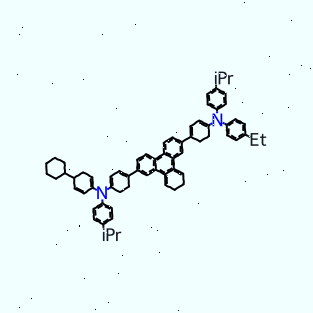 CCc1ccc(N(C2=CC=C(c3ccc4c(c3)c3c(c5cc(C6=CC=C(N(C7=CCC(C8CCCCC8)C=C7)c7ccc(C(C)C)cc7)CC6)ccc54)=CCCC=3)CC2)c2ccc(C(C)C)cc2)cc1